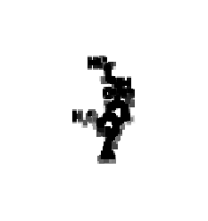 C[C@@H](N)c1cc(S(=O)(=O)NCCO)ccc1/C=C/C1CC1